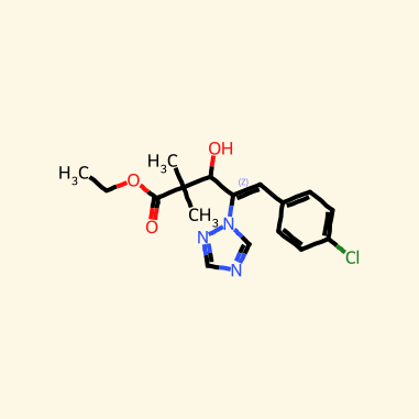 CCOC(=O)C(C)(C)C(O)/C(=C/c1ccc(Cl)cc1)n1cncn1